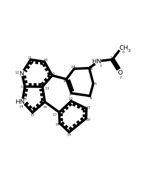 CC(=O)NC1CCC=C(c2ccnc3[nH]cc(-c4ccccc4)c23)C1